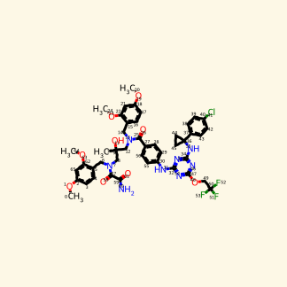 COc1ccc(CN(CC(C)(O)CN(Cc2ccc(OC)cc2OC)C(=O)c2ccc(Nc3nc(NC4(c5ccc(Cl)cc5)CC4)nc(OCC(F)(F)F)n3)cc2)C(=O)C(N)=O)c(OC)c1